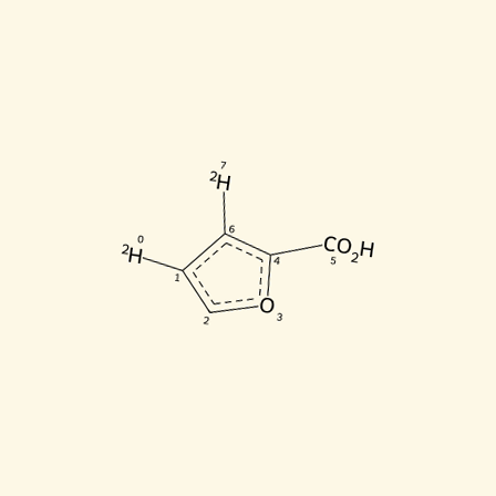 [2H]c1coc(C(=O)O)c1[2H]